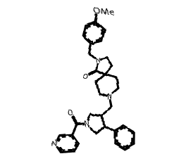 COc1ccc(CN2CCC3(CCN(CC4CN(C(=O)c5cccnc5)CC4c4ccccc4)CC3)C2=O)cc1